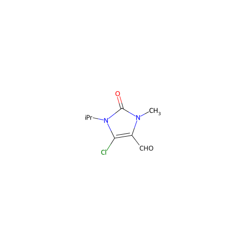 CC(C)n1c(Cl)c(C=O)n(C)c1=O